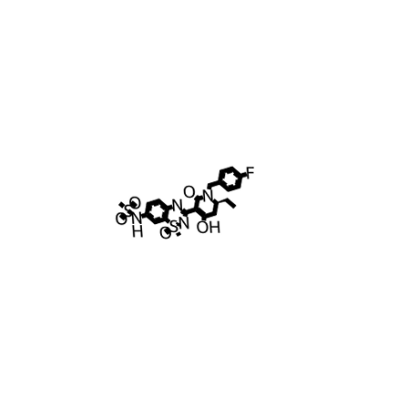 CC[C@H]1CC(O)=C(C2=Nc3ccc(NS(C)(=O)=O)cc3S(C)(=O)=N2)C(=O)N1Cc1ccc(F)cc1